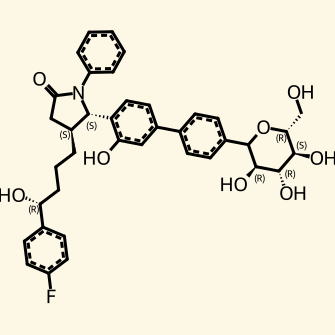 O=C1C[C@H](CCC[C@@H](O)c2ccc(F)cc2)[C@@H](c2ccc(-c3ccc(C4O[C@H](CO)[C@@H](O)[C@H](O)[C@H]4O)cc3)cc2O)N1c1ccccc1